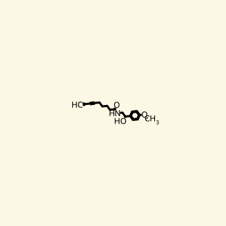 C#CC#CCCCCC(=O)NCC(O)c1ccc(OC)cc1